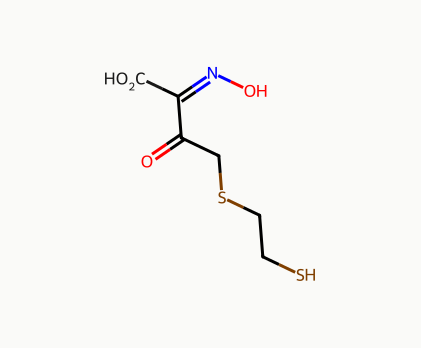 O=C(O)C(=NO)C(=O)CSCCS